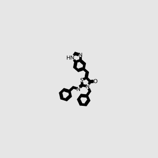 O=C1C(=Cc2ccc3[nH]cnc3c2)SC(=NCc2ccccc2)N1Cc1ccccc1